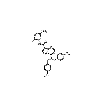 COc1ccc(CN(Cc2ccc(OC)cc2)c2ncnn3c(C(=O)Nc4cc(N)ccc4C)cnc23)cc1